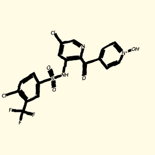 O=C(c1cc[n+](O)cc1)c1ncc(Cl)cc1NS(=O)(=O)c1ccc(Cl)c(C(F)(F)F)c1